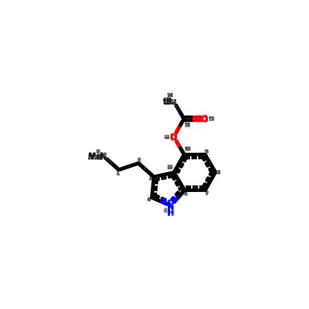 CNCCc1c[nH]c2cccc(OC(=O)C(C)(C)C)c12